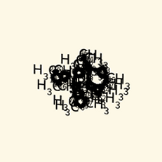 Cc1cc2c3c(c1)N(c1ccc4c(c1)C(C)(C)CCC4(C)C)c1sc4cc5c(cc4c1B3c1cc3c4cc1N2c1ccc(C(C)(C)C)cc1-c1ccc(cc1)C(C)(C)C(CC3(C)C)C4(C)C)C(C)(C)CCC5(C)C